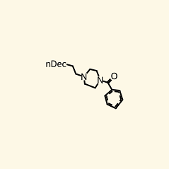 CCCCCCCCCCCCN1CCN(C(=O)c2ccccc2)CC1